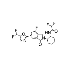 O=C(N[C@@H]1CCCC[C@H]1N1Cc2c(F)cc(-c3nnc(C(F)F)o3)cc2C1=O)C(F)F